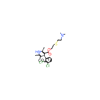 CCOC(=O)C1=C(C)NC(C)=C(C(=O)OCCSCCN(C)C)C1c1cccc(Cl)c1Cl